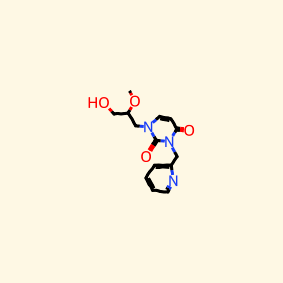 COC(CO)Cn1ccc(=O)n(Cc2ccccn2)c1=O